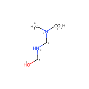 CN(CNCO)C(=O)O